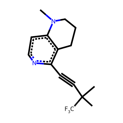 CN1CCCc2c1ccnc2C#CC(C)(C)C(F)(F)F